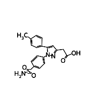 Cc1ccc(-c2cc(CC(=O)O)nn2-c2ccc(S(N)(=O)=O)cc2)cc1